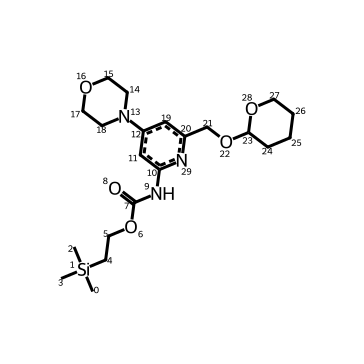 C[Si](C)(C)CCOC(=O)Nc1cc(N2CCOCC2)cc(COC2CCCCO2)n1